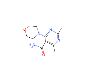 Cc1nc(C)c(C(N)=O)c(N2CCOCC2)n1